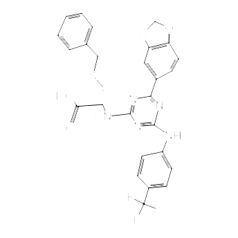 O=C(O)[C@H](CSCc1ccccc1)Nc1nc(Nc2ccc(C(F)(F)F)cc2)nc(-c2ccc3c(c2)OCO3)n1